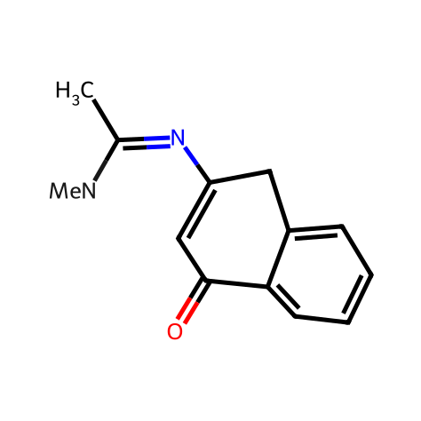 CN/C(C)=N\C1=CC(=O)c2ccccc2C1